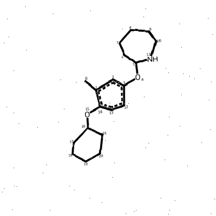 Cc1cc(OC2CCCCCN2)ccc1OC1CCCCC1